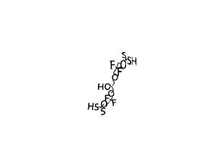 OC(CCOCC(F)(F)COC(=S)S)COCC(F)(F)COC(=S)S